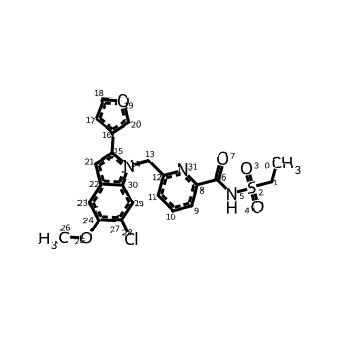 CCS(=O)(=O)NC(=O)c1cccc(Cn2c(-c3ccoc3)cc3cc(OC)c(Cl)cc32)n1